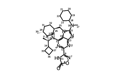 C[C@@H](Nc1nc(-c2noc(=O)[nH]2)nc2nc(N(C)C3CCCCC3)n(C[C@H]3CC[C@H](C)CC3)c12)C1CCC1